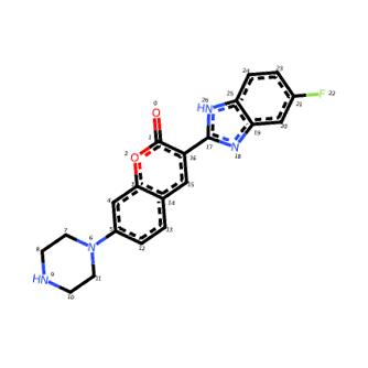 O=c1oc2cc(N3CCNCC3)ccc2cc1-c1nc2cc(F)ccc2[nH]1